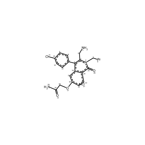 CC(C)Cn1c(CN)c(-c2ccc(Cl)cc2)c2cc(OCC(N)=O)ccc2c1=O.Cl